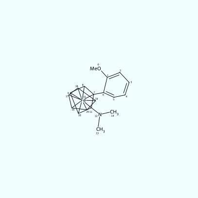 COc1ccccc1[C]12[CH]3[CH]4[CH]5[C]1(N(C)C)[Fe]43521678[CH]2[CH]1[CH]6[CH]7[CH]28